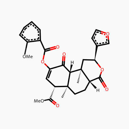 COC(=O)[C@@H]1C=C(OC(=O)c2ccccc2OC)C(=O)[C@H]2[C@@]1(C)CC[C@H]1C(=O)O[C@H](c3ccoc3)C[C@]21C